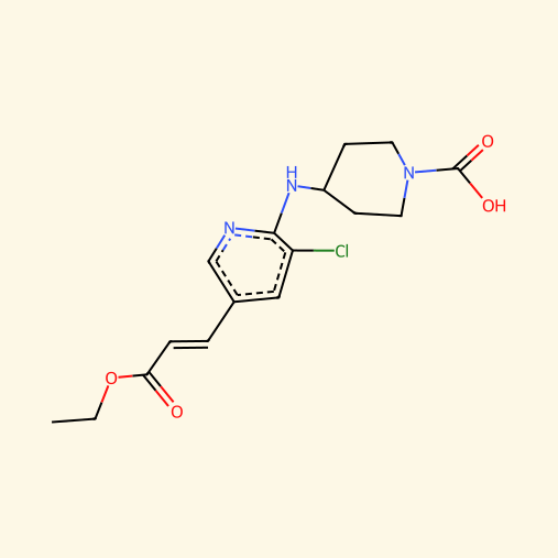 CCOC(=O)C=Cc1cnc(NC2CCN(C(=O)O)CC2)c(Cl)c1